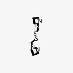 c1cnn(CSSCn2cccn2)c1